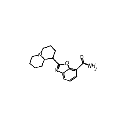 NC(=O)c1cccc2nc(C3CCCN4CCCCC34)oc12